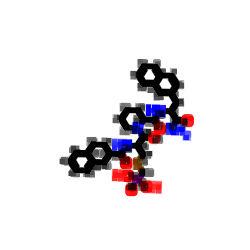 NC(=O)C(Cc1ccc2ccccc2c1)NC(=O)C1CCCCN1C(=O)C(CSCP(=O)(O)O)NC(=O)C1CCc2ccccc2C1